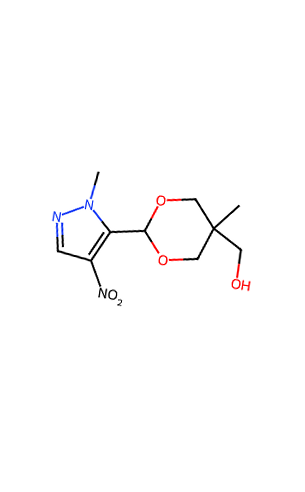 Cn1ncc([N+](=O)[O-])c1C1OCC(C)(CO)CO1